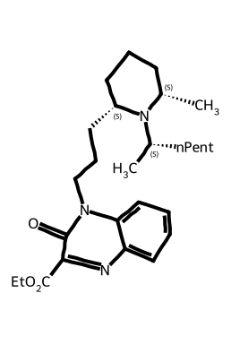 CCCCC[C@H](C)N1[C@H](CCCn2c(=O)c(C(=O)OCC)nc3ccccc32)CCC[C@@H]1C